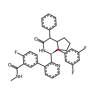 CNC(=O)c1cc(-c2cccnc2[C@H](Cc2cc(F)cc(F)c2)NC(=O)C(c2ccccc2)C2CCCC2)ccc1F